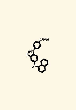 COc1ccc(-n2cnc3cc(N(C)c4cccc5ccccc45)ccc32)cc1